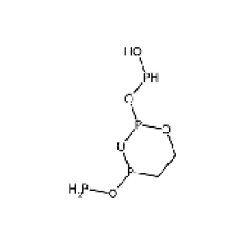 OPOP1OCCP(OP)O1